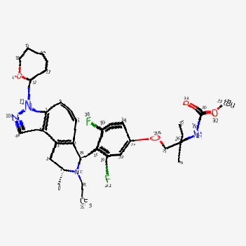 C[C@@H]1Cc2c(ccc3c2cnn3C2CCCCO2)[C@@H](c2c(F)cc(OCC(C)(C)NC(=O)OC(C)(C)C)cc2F)N1CC(F)(F)F